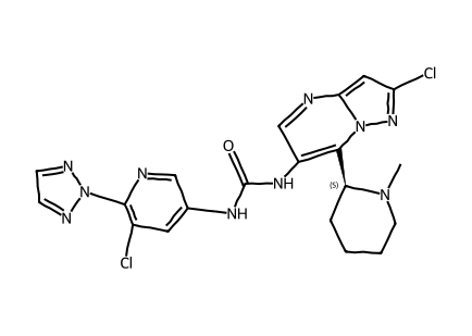 CN1CCCC[C@H]1c1c(NC(=O)Nc2cnc(-n3nccn3)c(Cl)c2)cnc2cc(Cl)nn12